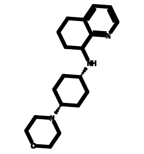 c1cnc2c(c1)CCCC2N[C@H]1CC[C@@H](N2CCOCC2)CC1